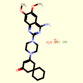 COc1cc2nc(N3CCN(C4=CC(=O)CC5(CCCCC5)C4)CC3)nc(N)c2cc1OC.Cl.Cl.O.O